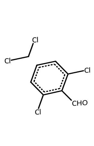 ClCCl.O=Cc1c(Cl)cccc1Cl